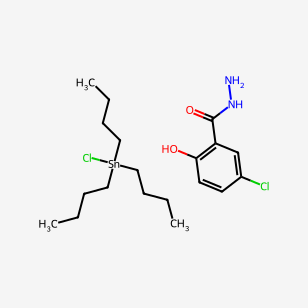 CCC[CH2][Sn]([Cl])([CH2]CCC)[CH2]CCC.NNC(=O)c1cc(Cl)ccc1O